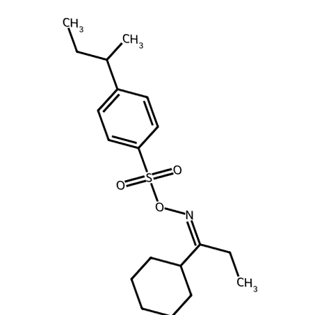 CCC(=NOS(=O)(=O)c1ccc(C(C)CC)cc1)C1CCCCC1